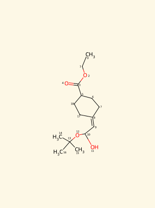 CCOC(=O)C1CCC(=CC(O)OC(C)(C)C)CC1